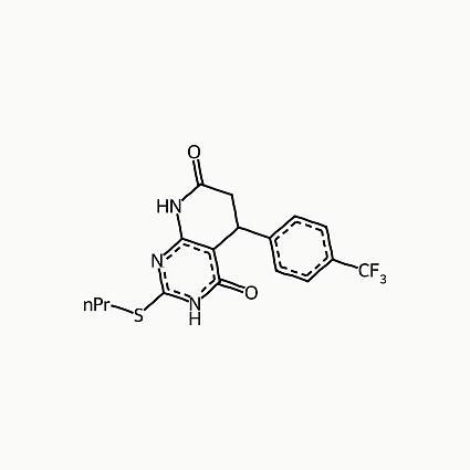 CCCSc1nc2c(c(=O)[nH]1)C(c1ccc(C(F)(F)F)cc1)CC(=O)N2